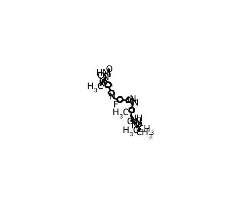 Cc1cc(-c2ncnn3cc(-c4ccc(CN5CCC(c6ccc7c(N8CCC(=O)NC8=O)nn(C)c7c6)CC5)c(F)c4)cc23)ccc1CNC(=O)c1noc(C(C)(C)C)n1